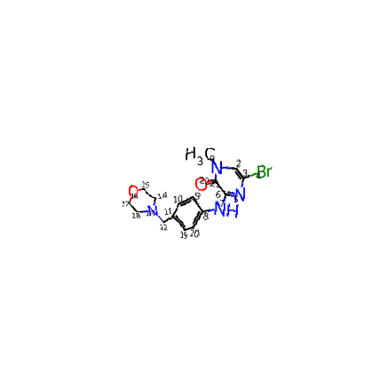 Cn1cc(Br)nc(Nc2ccc(CN3CCOCC3)cc2)c1=O